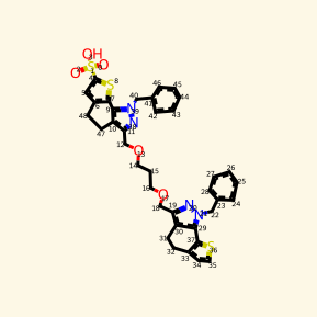 O=S(=O)(O)c1cc2c(s1)-c1c(c(COCCCOCc3nn(Cc4ccccc4)c4c3CCc3ccsc3-4)nn1Cc1ccccc1)CC2